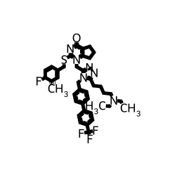 CCN(CC)CCCCc1nnc(Cn2c(SCC3=C[C@H](C)C(F)C=C3)nc(=O)c3c2CCC3)n1Cc1ccc(-c2ccc(C(F)(F)F)cc2)cc1